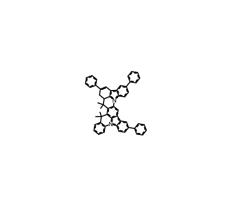 CC1(C)c2ccccc2-n2c3ccc(-c4ccccc4)cc3c3cc4c(c1c32)C(C)(C)C1CC(c2ccccc2)=Cc2c1n-4c1ccc(-c3ccccc3)cc21